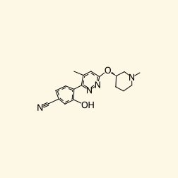 Cc1cc(O[C@@H]2CCCN(C)C2)nnc1-c1ccc(C#N)cc1O